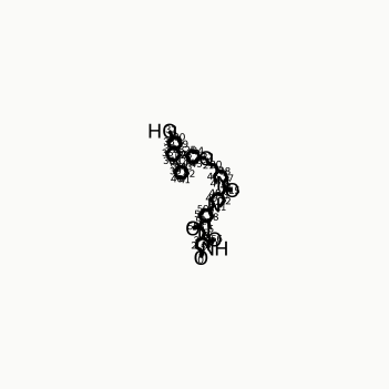 O=C1CCC(N2Cc3cc(N4CCC(C(=O)N5CCC(CCOc6ccc([C@@H]7c8ccc(O)cc8CC[C@@H]7c7ccccc7)cc6)CC5)CC4)ccc3C2=O)C(=O)N1